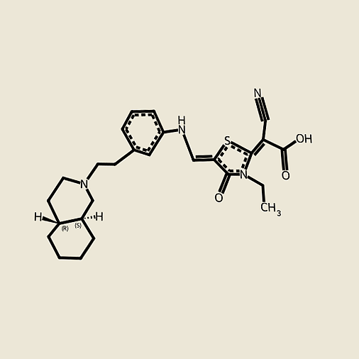 CCn1c(=C(C#N)C(=O)O)sc(=CNc2cccc(CCN3CC[C@H]4CCCC[C@@H]4C3)c2)c1=O